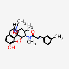 Cc1cccc(/C=C/C(=O)N(C)C2C(C)C[C@@]3(O)[C@H]4Cc5ccc(O)c6c5[C@@]3(CCN4C)C2O6)c1